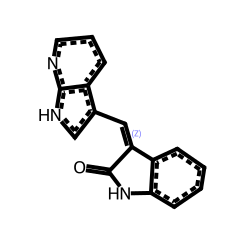 O=C1Nc2ccccc2/C1=C/c1c[nH]c2ncccc12